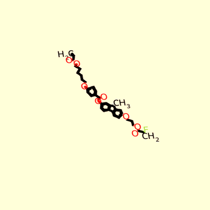 C=CC(=O)OCCCCCCOc1ccc(C(=O)Oc2ccc3c(c2)C(C)c2cc(OCCCOC(=O)C(=C)F)ccc2-3)cc1